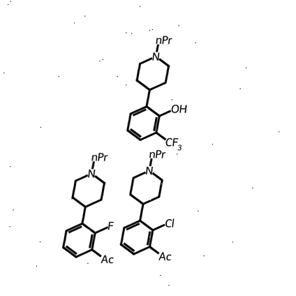 CCCN1CCC(c2cccc(C(C)=O)c2Cl)CC1.CCCN1CCC(c2cccc(C(C)=O)c2F)CC1.CCCN1CCC(c2cccc(C(F)(F)F)c2O)CC1